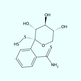 NC(=S)c1cc[c]cc1[C@]1(SS)OC[C@@H](O)[C@H](O)[C@H]1O